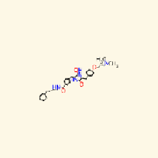 CN(C)CCCOc1ccc(/C=c2\[nH]c(=O)/c(=C/c3ccc(C(=O)NCCCCc4ccccc4)cc3)[nH]c2=O)cc1